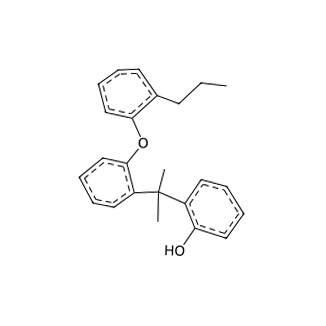 CCCc1ccccc1Oc1ccccc1C(C)(C)c1ccccc1O